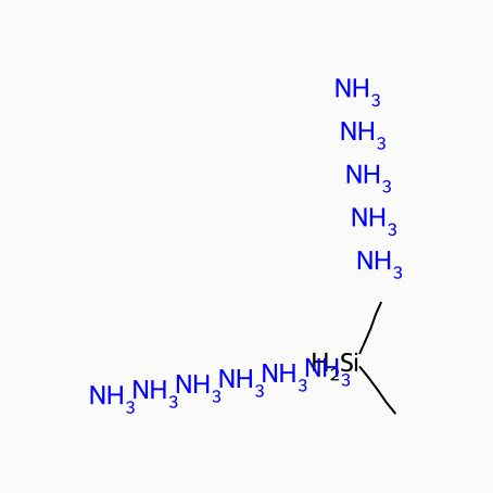 C[SiH2]C.N.N.N.N.N.N.N.N.N.N.N